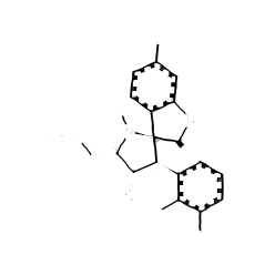 CCCN1[C@@H](CC=O)[C@@H]([N+](=O)[O-])[C@H](c2cccc(Cl)c2F)[C@]12C(=O)Nc1cc(Cl)ccc12